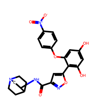 O=C(NC1CN2CCC1CC2)c1cc(-c2c(O)cc(O)cc2Oc2ccc([N+](=O)[O-])cc2)on1